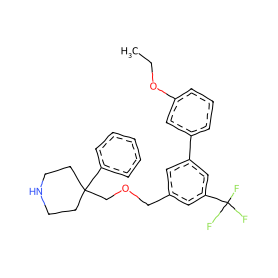 CCOc1cccc(-c2cc(COCC3(c4ccccc4)CCNCC3)cc(C(F)(F)F)c2)c1